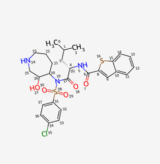 CC(C)C[C@H](NC(=O)c1cc2ccccc2s1)C(=O)N(C1CCCNCC1O)S(=O)(=O)c1ccc(Cl)cc1